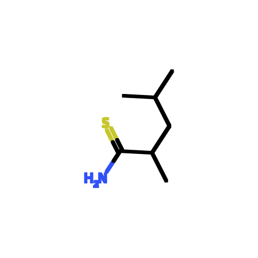 CC(C)CC(C)C(N)=S